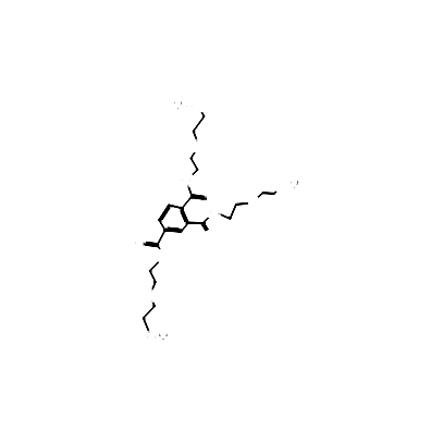 COCCOCCOC(=O)c1ccc(C(=O)OCCOCCOC)c(C(=O)OCCOCCOC)c1